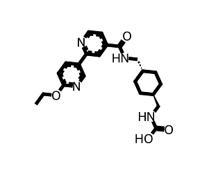 CCOc1ccc(-c2cc(C(=O)NC[C@H]3CC[C@H](CNC(=O)O)CC3)ccn2)cn1